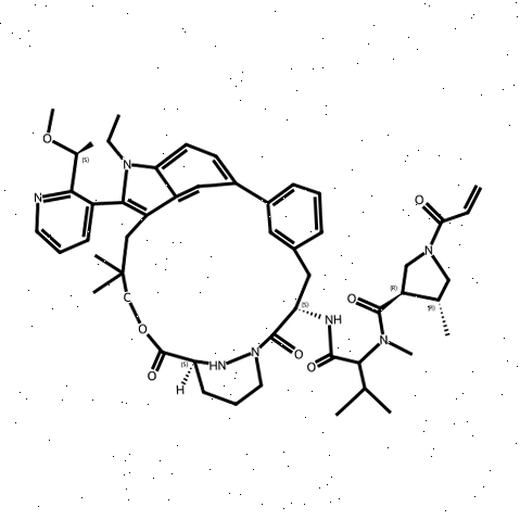 C=CC(=O)N1C[C@H](C(=O)N(C)C(C(=O)N[C@H]2Cc3cccc(c3)-c3ccc4c(c3)c(c(-c3cccnc3[C@H](C)OC)n4CC)CC(C)(C)COC(=O)[C@@H]3CCCN(N3)C2=O)C(C)C)[C@@H](C)C1